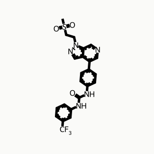 CS(=O)(=O)CCn1ncc2c(-c3ccc(NC(=O)Nc4cccc(C(F)(F)F)c4)cc3)cncc21